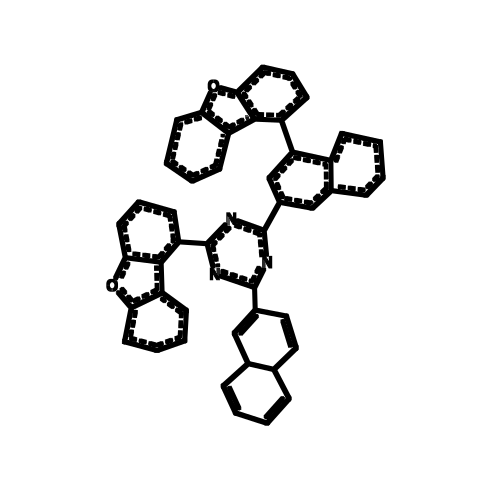 C1=CC2C=CC(c3nc(-c4cc(-c5cccc6oc7ccccc7c56)c5ccccc5c4)nc(-c4cccc5oc6ccccc6c45)n3)=CC2C=C1